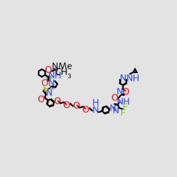 CN[C@@H](C)C(=O)N[C@H](C(=O)N1CCC[C@H]1c1nc(C(=O)c2cccc(OCCOCCOCCOCCNCc3ccc(-n4cc(NC(=O)c5coc(-c6ccnc(NCC7CC7)c6)n5)c(C(F)F)n4)cc3)c2)cs1)C1CCCCC1